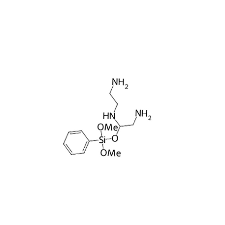 CO[Si](OC)(OC(CN)NCCN)c1ccccc1